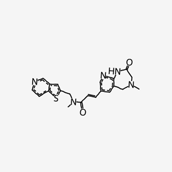 CN1CC(=O)Nc2ncc(/C=C/C(=O)N(C)Cc3cc4cnccc4s3)cc2C1